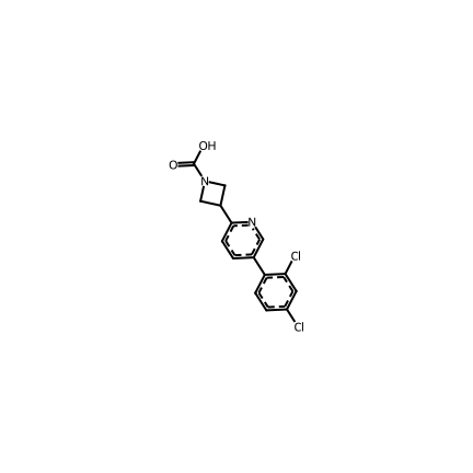 O=C(O)N1CC(c2ccc(-c3ccc(Cl)cc3Cl)cn2)C1